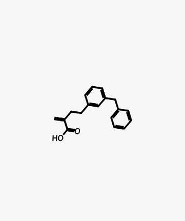 C=C(CCc1cccc(Cc2ccccc2)c1)C(=O)O